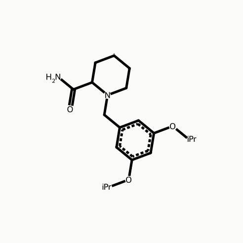 CC(C)Oc1cc(CN2CC[CH]CC2C(N)=O)cc(OC(C)C)c1